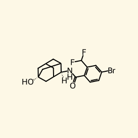 O=C(N[C@H]1C2CC3CC1C[C@](O)(C3)C2)c1ccc(Br)cc1C(F)F